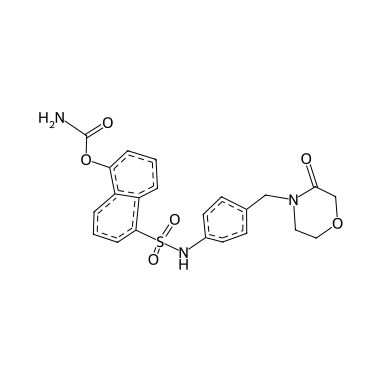 NC(=O)Oc1cccc2c(S(=O)(=O)Nc3ccc(CN4CCOCC4=O)cc3)cccc12